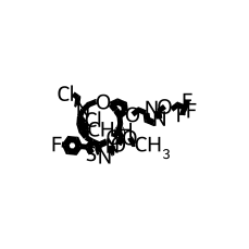 CCOC(=O)[C@H]1Cc2cc(ccc2OCc2ccnc(OCCC(F)(F)F)n2)OCCN(CCCl)c2ccc(c(C)c2Cl)-c2c(-c3ccc(F)cc3)sc3ncnc(c23)O1